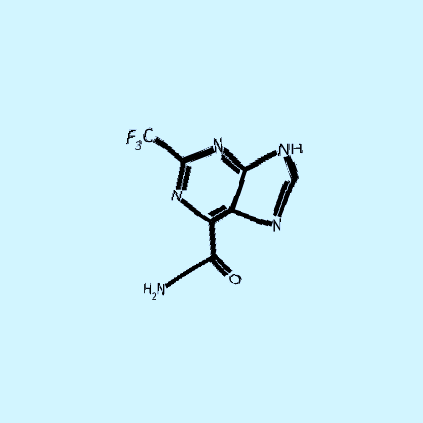 NC(=O)c1nc(C(F)(F)F)nc2[nH]cnc12